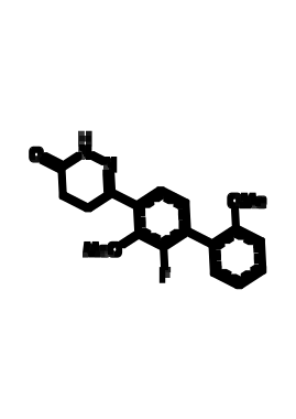 COc1ccccc1-c1ccc(C2=NNC(=O)CC2)c(OC)c1F